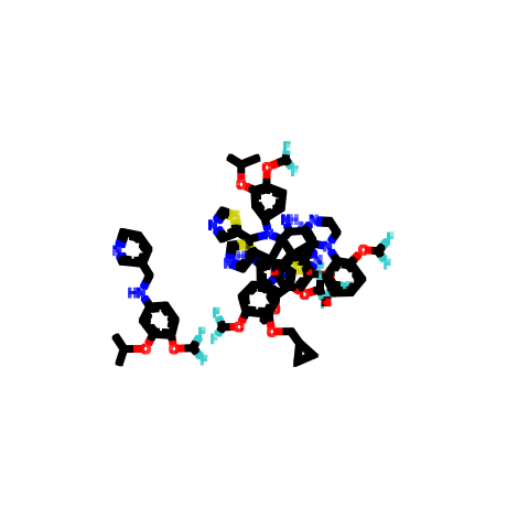 CC(C)Oc1cc(NCc2cccnc2)ccc1OC(F)F.COc1cc(NC(c2cncs2)N(c2ccc(OC(F)F)c(OC(C)C)c2)C(c2cncs2)(C(N)C2=C(c3ccccc3OC(F)F)N(c3ccccc3OC(F)F)CC=N2)C(Nc2ccc(OC(F)F)c(OCC3CC3)c2)c2cncs2)ccc1OC(F)F